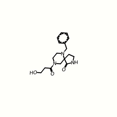 O=C(CCO)N1CCN(Cc2ccccc2)C2(CCNC2=O)C1